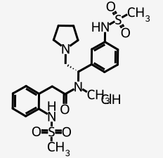 CN(C(=O)Cc1ccccc1NS(C)(=O)=O)[C@H](CN1CCCC1)c1cccc(NS(C)(=O)=O)c1.Cl